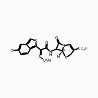 CON=C(C(=O)NC1C(=O)N2C=C(C(=O)O)CS[C@H]12)c1scc2cc(Cl)ccc12